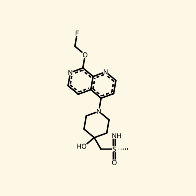 C[S@](=N)(=O)CC1(O)CCN(c2ccnc3c(OCF)nccc23)CC1